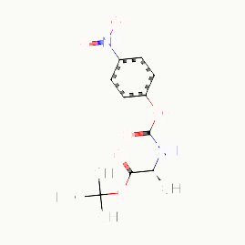 C[C@H](NC(=O)Oc1ccc([N+](=O)[O-])cc1)C(=O)OC(C)(C)C